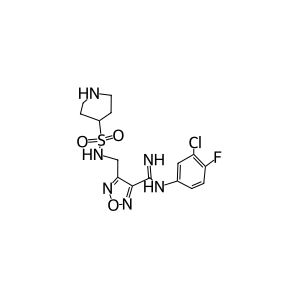 N=C(Nc1ccc(F)c(Cl)c1)c1nonc1CNS(=O)(=O)C1CCNCC1